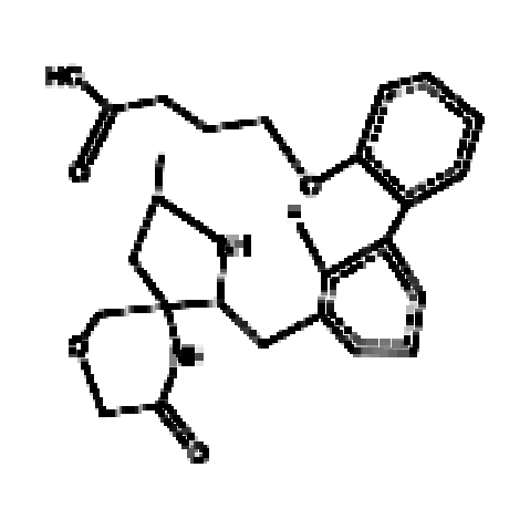 CC1CC2(COCC(=O)N2)C(Cc2cccc(-c3ccccc3OCCCC(=O)O)c2F)N1